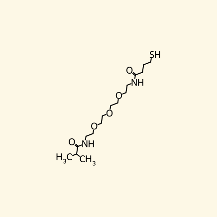 CC(C)C(=O)NCCOCCOCCOCCNC(=O)CCCS